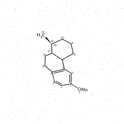 COc1ccc2c(c1)C1CCC[C@H](C)C1CC2